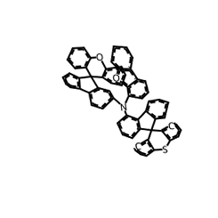 c1ccc2c(c1)Oc1ccccc1C21c2ccccc2-c2ccc(N(c3cccc4c3-c3ccccc3C43c4ccccc4Sc4ccccc43)c3cccc4c3oc3ccccc34)cc21